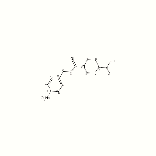 CC(O)N1CCN(C(=O)OCc2ccc([N+](=O)[O-])cc2)CC1